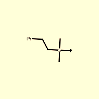 CC(C)CCS(C)(C)F